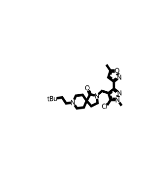 Cc1cc(-c2nn(C)c(Cl)c2CN2CCC3(CCN(CCC(C)(C)C)CC3)C2=O)no1